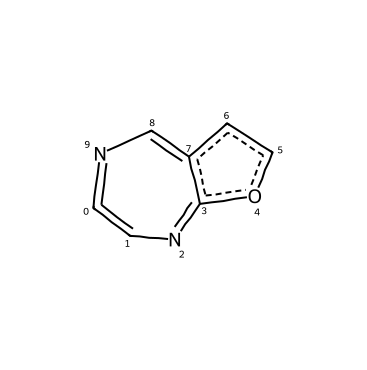 C1=CN=c2occc2=CN=1